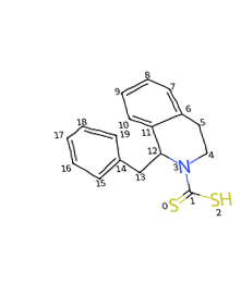 S=C(S)N1CCc2ccccc2C1Cc1ccccc1